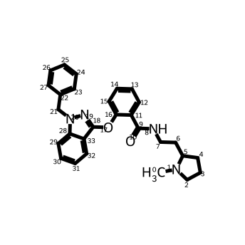 CN1CCCC1CCNC(=O)c1ccccc1Oc1nn(Cc2ccccc2)c2ccccc12